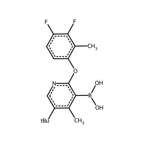 Cc1c(Oc2ncc(C(C)(C)C)c(C)c2B(O)O)ccc(F)c1F